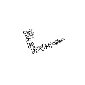 O=P([O-])([O-])[O-].O=P([O-])([O-])[O-].O=[As]([O-])([O-])[O-].O=[As]([O-])([O-])[O-].[Ca+2].[Ca+2].[Ca+2].[Ca+2].[Ca+2].[Ca+2].[Ca+2].[Cl-].[Cl-]